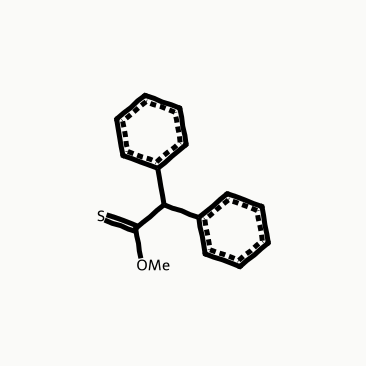 COC(=S)C(c1ccccc1)c1ccccc1